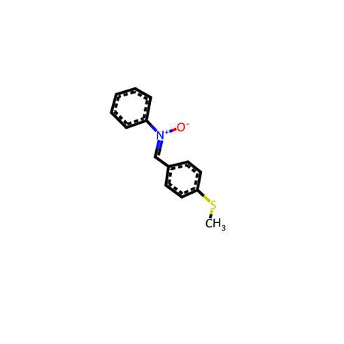 CSc1ccc(C=[N+]([O-])c2ccccc2)cc1